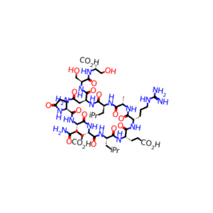 CC(C)C[C@H](NC(=O)[C@H](C)NC(=O)[C@H](CCCNC(=N)N)NC(=O)[C@H](CCC(=O)O)NC(=O)[C@H](CC(C)C)NC(=O)[C@H](CCC(N)=O)NC(=O)[C@H](CCC(=O)O)NC(=O)[C@@H]1CCC(=O)N1)C(=O)N[C@@H](CC(N)=O)C(=O)N[C@@H](CO)C(=O)N[C@@H](CO)C(=O)O